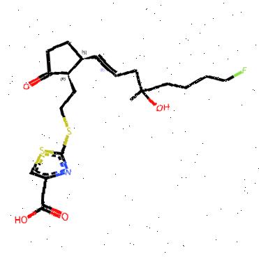 CC(O)(C/C=C/[C@@H]1CCC(=O)[C@@H]1CCSc1nc(C(=O)O)cs1)CCCCF